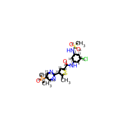 Cc1sc(C(=O)Nc2cc(Cl)cc(NS(C)(=O)=O)c2)cc1-c1ncc(P(C)(C)=O)cn1